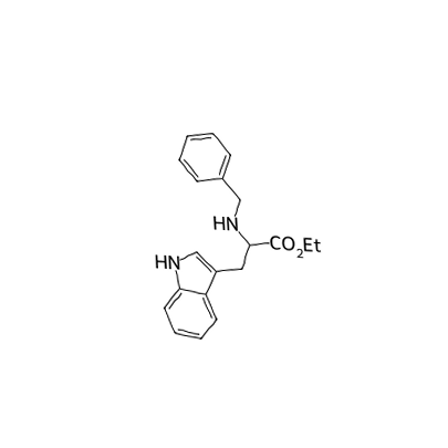 CCOC(=O)C(Cc1c[nH]c2ccccc12)NCc1ccccc1